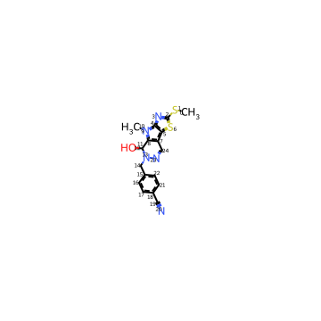 CSc1nc2c(s1)c1c(n2C)C(O)N(Cc2ccc(C#N)cc2)N=C1